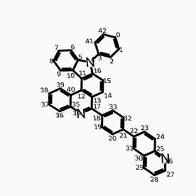 c1ccc(-n2c3ccccc3c3c4c(ccc32)c(-c2ccc(-c3ccc5ncccc5c3)cc2)nc2ccccc24)cc1